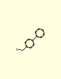 [Li][CH2]c1ccc(-c2ccccc2)cc1